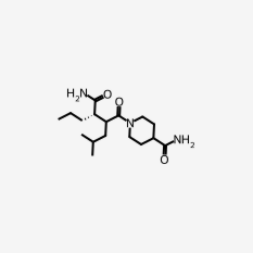 CCC[C@H](C(N)=O)C(CC(C)C)C(=O)N1CCC(C(N)=O)CC1